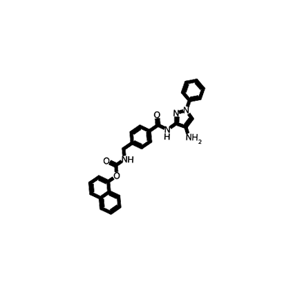 Nc1cn(-c2ccccc2)nc1NC(=O)c1ccc(CNC(=O)Oc2cccc3ccccc23)cc1